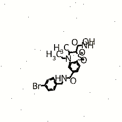 CCN1c2cc(C(=O)NCc3ccc(Br)cc3)ccc2S(=O)(=O)C(C(=O)NO)C1C